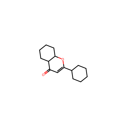 O=C1C=C(C2CCCCC2)OC2CCCCC12